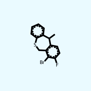 CC1c2ccccc2SCc2c1ccc(F)c2Br